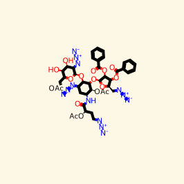 CC(=O)OCC1O[C@H](O[C@@H]2C(N=[N+]=[N-])C[C@@H](NC(=O)[C@H](CCN=[N+]=[N-])OC(C)=O)[C@@H](OC(C)=O)C2O[C@@H]2O[C@H](CN=[N+]=[N-])C(OC(=O)c3ccccc3)[C@@H]2OC(=O)c2ccccc2)C(N=[N+]=[N-])[C@@H](O)[C@@H]1O